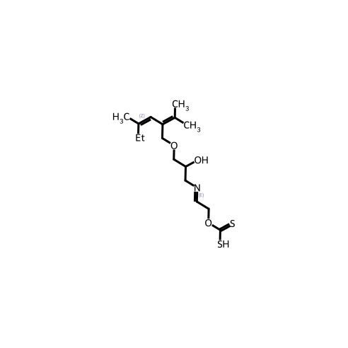 CC/C(C)=C\C(COCC(O)C/N=C/COC(=S)S)=C(C)C